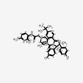 CCOc1cc(C(C)(C)C)ncc1C1=N[C@@](C)(c2ccc(Cl)cc2)[C@@](C)(c2ccc(Cl)cc2)N1C(=O)N1CCN(CC(=O)Nc2ccc(C)nc2C)CC1